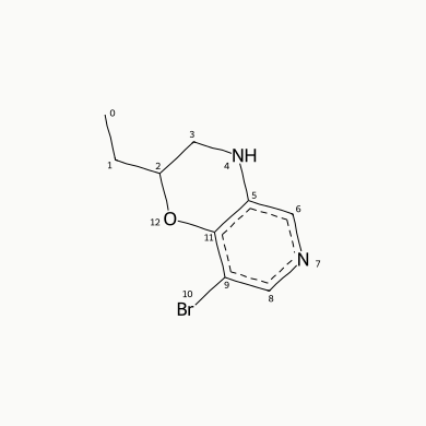 CCC1CNc2cncc(Br)c2O1